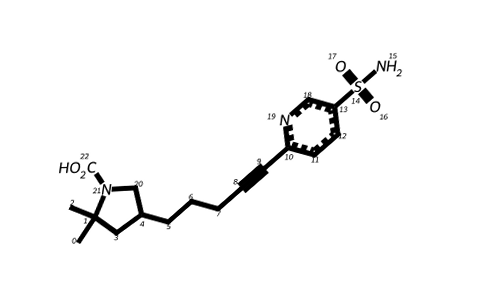 CC1(C)CC(CCCC#Cc2ccc(S(N)(=O)=O)cn2)CN1C(=O)O